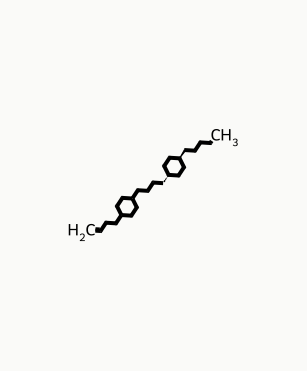 C=CCCC1CCC(CCCC[C@H]2CC[C@H](CCCCC)CC2)CC1